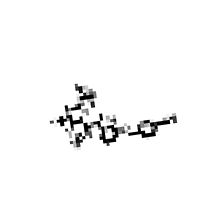 [2H]ON=C(C(=O)c1cccc(OCc2ccc(C#N)cc2)c1[2H])c1nc(SC([2H])([2H])[2H])nc([2H])c1[2H]